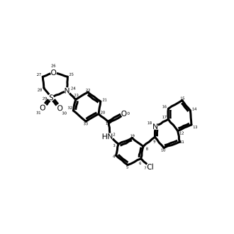 O=C(Nc1ccc(Cl)c(-c2ccc3ccccc3n2)c1)c1ccc(N2COCCS2(=O)=O)cc1